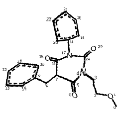 COCCN1C(=O)C(Cc2ccccc2)C(=O)N(c2ccccc2)C1=O